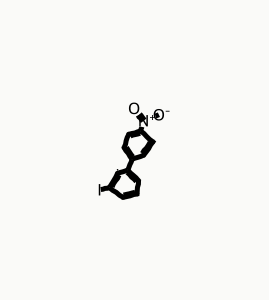 O=[N+]([O-])c1ccc(-c2[c]c(I)ccc2)cc1